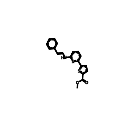 COC(=O)c1ccc(-c2cccc(NC=Cc3ccccc3)n2)s1